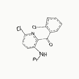 CC(C)Nc1ccc(Cl)nc1C(=O)c1ccccc1Cl